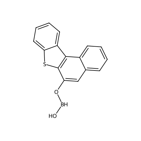 OBOc1cc2ccccc2c2c1sc1ccccc12